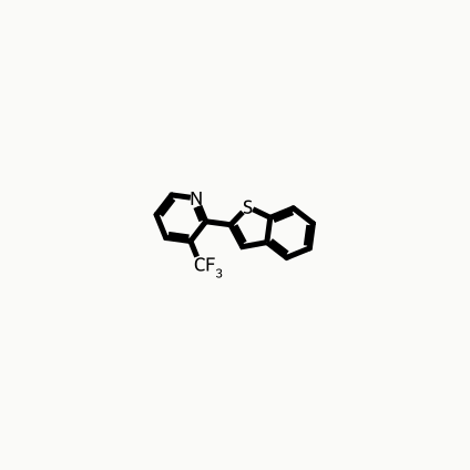 FC(F)(F)c1cccnc1-c1cc2ccccc2s1